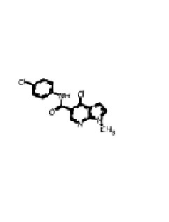 Cn1ccc2c(Cl)c(C(=O)Nc3ccc(Cl)cc3)cnc21